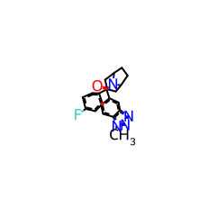 Cn1nnc2cc(C(=O)N3C4CCC3CC(c3ccc(F)cc3)C4)ccc21